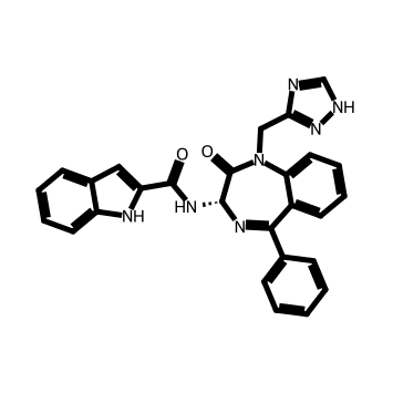 O=C(N[C@H]1N=C(c2ccccc2)c2ccccc2N(Cc2nc[nH]n2)C1=O)c1cc2ccccc2[nH]1